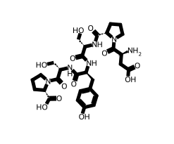 N[C@@H](CC(=O)O)C(=O)N1CCC[C@H]1C(=O)N[C@@H](CO)C(=O)N[C@@H](Cc1ccc(O)cc1)C(=O)N[C@@H](CO)C(=O)N1CCC[C@H]1C(=O)O